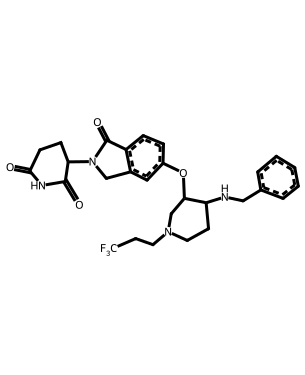 O=C1CCC(N2Cc3cc(OC4CN(CCC(F)(F)F)CCC4NCc4ccccc4)ccc3C2=O)C(=O)N1